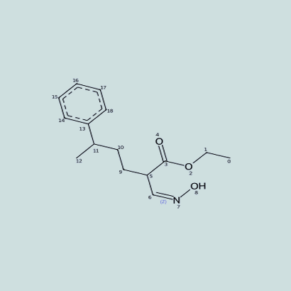 CCOC(=O)C(/C=N\O)CCC(C)c1ccccc1